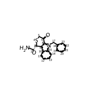 NC(=O)[C@@H]1SCC(=O)c2c1c1ccccc1n2Cc1ccccc1